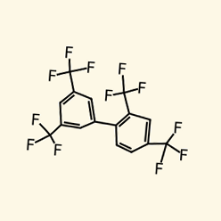 FC(F)(F)c1cc(-c2ccc(C(F)(F)F)cc2C(F)(F)F)cc(C(F)(F)F)c1